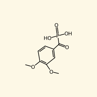 COc1ccc(C(=O)P(=O)(O)O)cc1OC